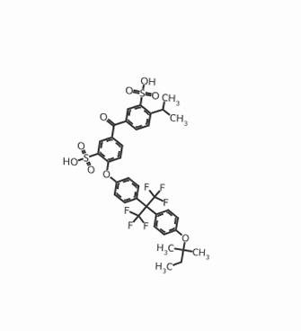 CCC(C)(C)Oc1ccc(C(c2ccc(Oc3ccc(C(=O)c4ccc(C(C)C)c(S(=O)(=O)O)c4)cc3S(=O)(=O)O)cc2)(C(F)(F)F)C(F)(F)F)cc1